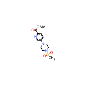 COC(=O)c1ccc(N2CCN(S(C)(=O)=O)CC2)cn1